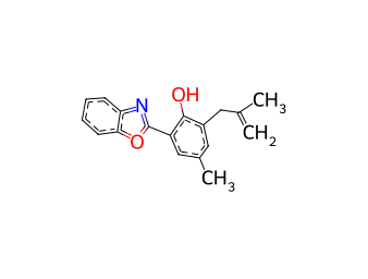 C=C(C)Cc1cc(C)cc(-c2nc3ccccc3o2)c1O